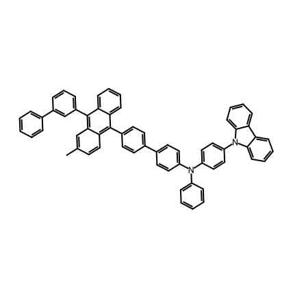 Cc1ccc2c(-c3ccc(-c4ccc(N(c5ccccc5)c5ccc(-n6c7ccccc7c7ccccc76)cc5)cc4)cc3)c3ccccc3c(-c3cccc(-c4ccccc4)c3)c2c1